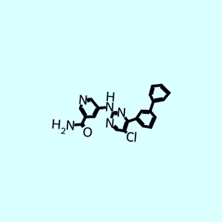 NC(=O)c1cncc(Nc2ncc(Cl)c(-c3cccc(-c4ccccc4)c3)n2)c1